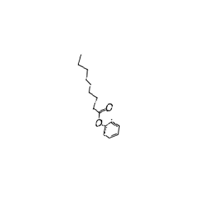 CCCCCCCCC(=O)Oc1[c]cccc1